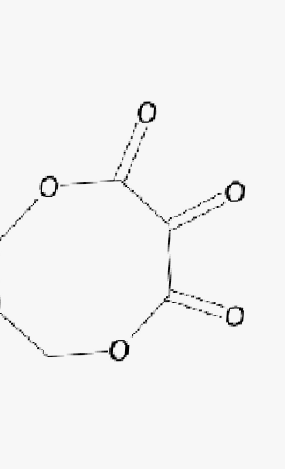 O=C1OCCCOC(=O)C1=O